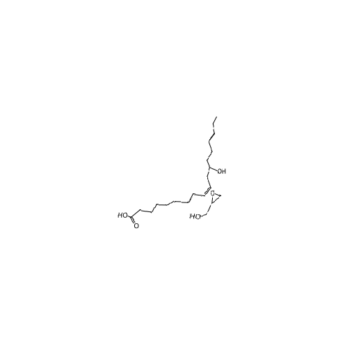 CCCCCCC(O)C/C=C\CCCCCCCC(=O)O.OCC1CO1